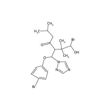 CC(C)CC(=O)C(C(Oc1ccc(Br)cc1)n1cncn1)C(C)(C)C(O)Br